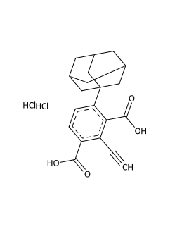 C#Cc1c(C(=O)O)ccc(C23CC4CC(CC(C4)C2)C3)c1C(=O)O.Cl.Cl